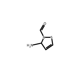 NC1C=CSN1C=O